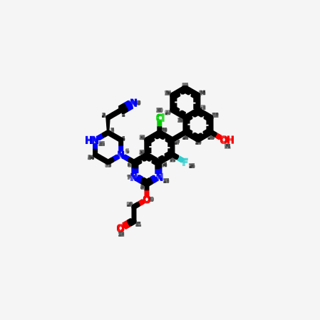 N#CC[C@H]1CN(c2nc(OCC=O)nc3c(F)c(-c4cc(O)cc5ccccc45)c(Cl)cc23)CCN1